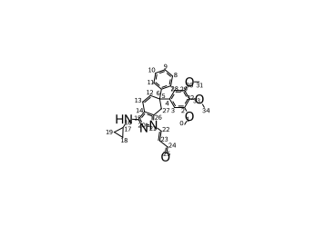 COc1cc(C2(c3ccccc3)C=Cc3c(NC4CC4)nn(C=CC=O)c3C2)cc(OC)c1OC